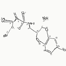 CC(C)(C)OC(=O)NS(=O)(=O)NCC1COc2cc(Cl)ccc2O1.[NaH]